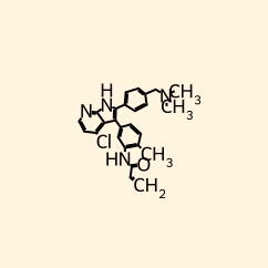 C=CC(=O)Nc1cc(-c2c(-c3ccc(CN(C)C)cc3)[nH]c3nccc(Cl)c23)ccc1C